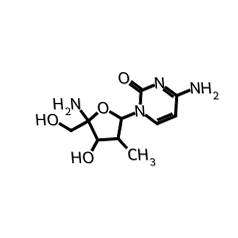 CC1C(n2ccc(N)nc2=O)OC(N)(CO)C1O